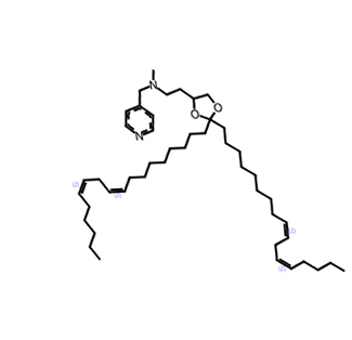 CCCC/C=C\C/C=C\CCCCCCCCC1(CCCCCCCC/C=C\C/C=C\CCCCC)OCC(CCN(C)Cc2ccncc2)O1